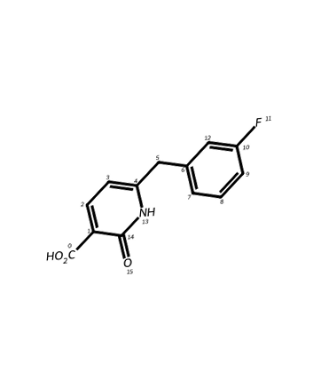 O=C(O)c1ccc(Cc2cccc(F)c2)[nH]c1=O